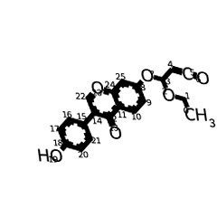 CCOC(C=C=O)Oc1ccc2c(=O)c(-c3ccc(O)cc3)coc2c1